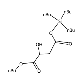 CCCCOC(=O)C(O)CC(=O)O[Si](CCCC)(CCCC)CCCC